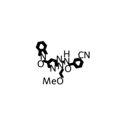 COCCCn1c(NC(=O)c2cccc(C#N)c2)nc2cc(C(=O)n3cc4ccccc4c3)cnc21